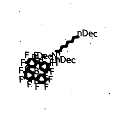 CCCCCCCCCCCCCCCCCC[NH+](CCCCCCCCCC)CCCCCCCCCC.Fc1c(F)c(F)c([B-](c2c(F)c(F)c(F)c(F)c2F)(c2c(F)c(F)c(F)c(F)c2F)c2c(F)c(F)c(F)c(F)c2F)c(F)c1F